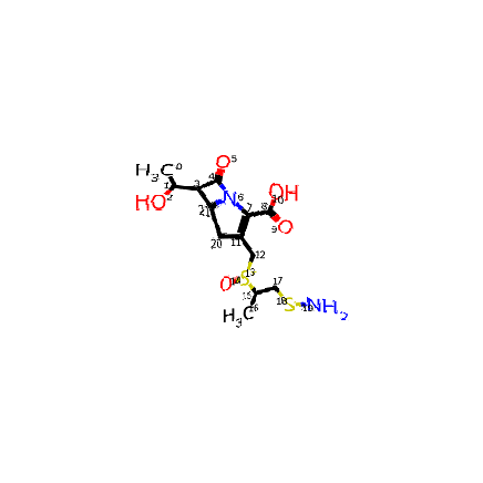 CC(O)C1C(=O)N2C(C(=O)O)=C(C[S+]([O-])C(C)CSN)CC12